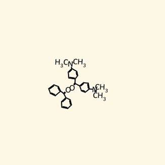 CN(C)c1ccc(C(=O)c2ccc(N(C)C)cc2)cc1.O=C(c1ccccc1)c1ccccc1